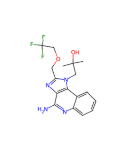 CC(C)(O)Cn1c(COCC(F)(F)F)nc2c(N)nc3ccccc3c21